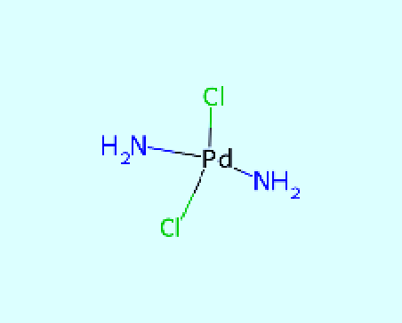 [NH2][Pd]([NH2])([Cl])[Cl]